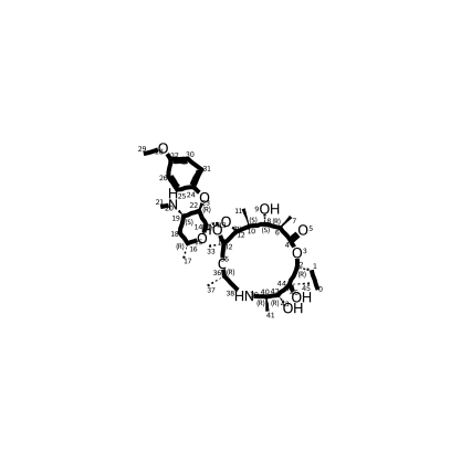 CC[C@H]1OC(=O)[C@H](C)[C@@H](O)[C@H](C)[C@@H](O[C@@H]2O[C@H](C)C[C@H](NC)[C@H]2Oc2ccc(OC)cc2)[C@](C)(O)C[C@@H](C)CN[C@H](C)[C@@H](O)[C@]1(C)O